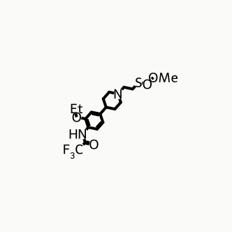 CCOc1cc(C2CCN(CCSOOC)CC2)ccc1NC(=O)C(F)(F)F